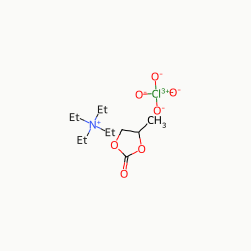 CC1COC(=O)O1.CC[N+](CC)(CC)CC.[O-][Cl+3]([O-])([O-])[O-]